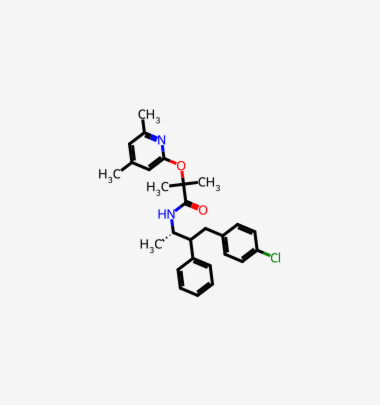 Cc1cc(C)nc(OC(C)(C)C(=O)N[C@@H](C)C(Cc2ccc(Cl)cc2)c2ccccc2)c1